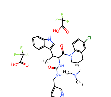 CC(c1c[nH]c2ccccc12)C(NC(=O)NCc1cccnc1)C(=O)N1C[C@@H](CN(C)C)Cc2cc(Cl)ccc21.O=C(O)C(F)(F)F.O=C(O)C(F)(F)F